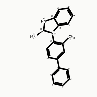 Cc1cc(-c2ccccc2)ccc1N1c2ccccc2N[C@@H]1C